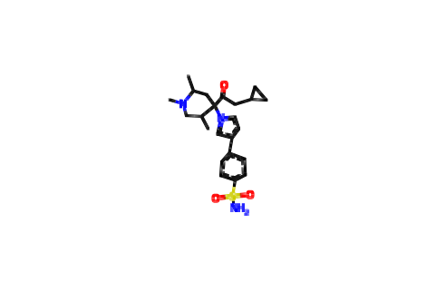 CC1CC(C(=O)CC2CC2)(n2ccc(-c3ccc(S(N)(=O)=O)cc3)c2)C(C)CN1C